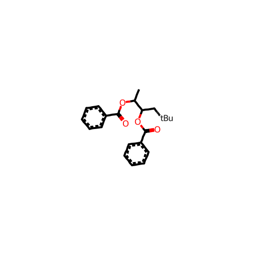 CC(OC(=O)c1ccccc1)C(CC(C)(C)C)OC(=O)c1ccccc1